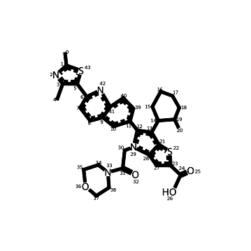 Cc1nc(C)c(-c2ccc3cc(-c4c(C5CCCCC5C)c5sc(C(=O)O)cc5n4CC(=O)N4CCOCC4)ccc3n2)s1